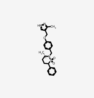 Cc1n[nH]cc1COc1ccc(CN2[C@@H](C)CCC(c3ccccc3)S2(=O)=O)cc1